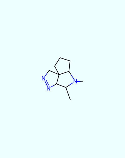 CC1C2N=NCC23CCCC3N1C